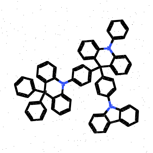 c1ccc(N2c3ccccc3C(c3ccc(N4c5ccccc5[Si](c5ccccc5)(c5ccccc5)c5ccccc54)cc3)(c3ccc(-n4c5ccccc5c5ccccc54)cc3)c3ccccc32)cc1